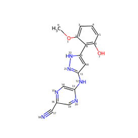 COc1cccc(O)c1-c1cc(Nc2cnc(C#N)cn2)n[nH]1